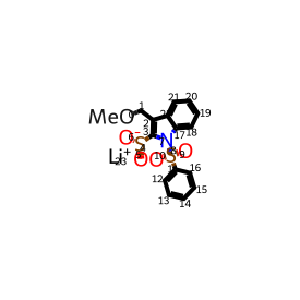 COCc1c(S(=O)[O-])n(S(=O)(=O)c2ccccc2)c2ccccc12.[Li+]